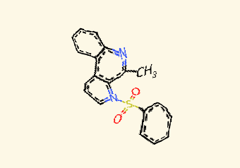 Cc1nc2ccccc2c2ccn(S(=O)(=O)c3ccccc3)c12